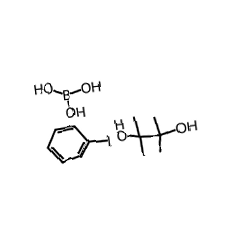 CC(C)(O)C(C)(C)O.Ic1ccccc1.OB(O)O